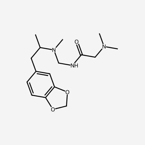 CC(Cc1ccc2c(c1)OCO2)N(C)CNC(=O)CN(C)C